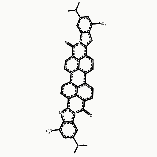 CN(C)c1cc(N)c2nc3c4ccc5c6ccc7c(=O)n8c9cc(N(C)C)cc([N+](=O)[O-])c9nc8c8ccc(c9ccc(c(=O)n3c2c1)c4c59)c6c78